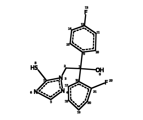 OC(Cn1ncnc1S)(c1ccc(F)cc1)c1ccccc1F